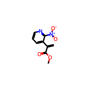 C=C(C(=O)OC)c1cccnc1[N+](=O)[O-]